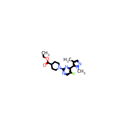 CCOC(=O)C1CCN(c2ncc(F)c(-c3c(C)cnn3C)n2)CC1